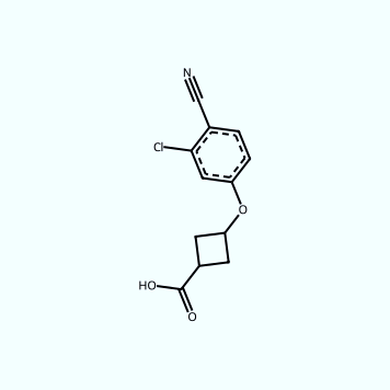 N#Cc1ccc(OC2CC(C(=O)O)C2)cc1Cl